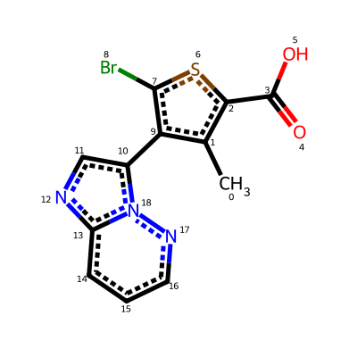 Cc1c(C(=O)O)sc(Br)c1-c1cnc2cccnn12